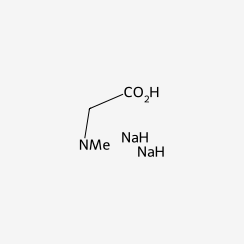 CNCC(=O)O.[NaH].[NaH]